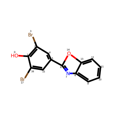 Oc1c(Br)cc(-c2nc3ccccc3o2)cc1Br